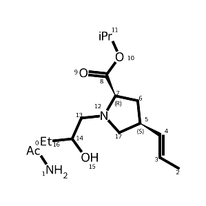 CC(N)=O.CC=C[C@@H]1C[C@H](C(=O)OC(C)C)N(CC(O)CC)C1